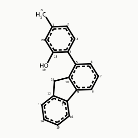 Cc1ccc(-c2cccc3c2Cc2ccccc2-3)c(O)c1